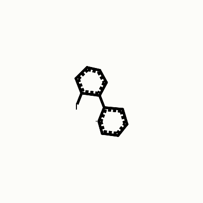 Ic1ccccc1-c1[c]cccc1